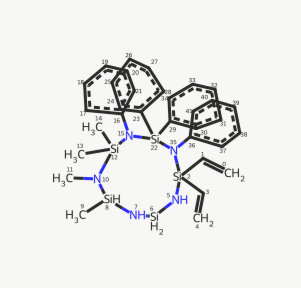 C=C[Si]1(C=C)N[SiH2]N[SiH](C)N(C)[Si](C)(C)N(c2ccccc2)[Si](c2ccccc2)(c2ccccc2)N1c1ccccc1